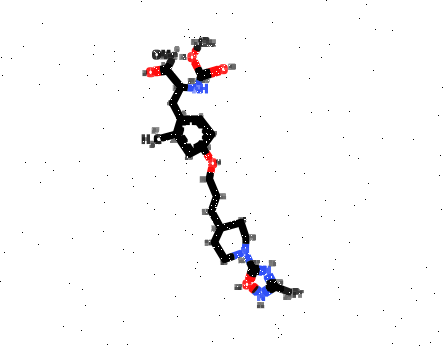 COC(=O)C(Cc1ccc(OCCCC2CCN(c3nc(C(C)C)no3)CC2)cc1C)NC(=O)OC(C)(C)C